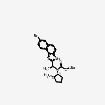 CC(c1nc2c(ccc3cc(Br)ccc32)[nH]1)N(C(=O)OC(C)(C)C)[C@H]1CCC[C@H]1C